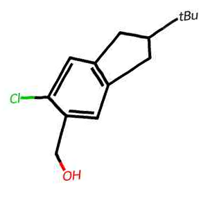 CC(C)(C)C1Cc2cc(Cl)c(CO)cc2C1